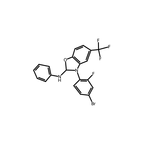 Fc1cc(Br)ccc1N1c2cc(C(F)(F)F)ccc2OC1Nc1ccccc1